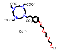 CCOCCOCCOCCOc1ccc(C[C@H](C(=O)O)N2CCN(CC(=O)[O-])CCN(CC(=O)[O-])CCN(CC(=O)[O-])CC2)cc1.[Gd+3]